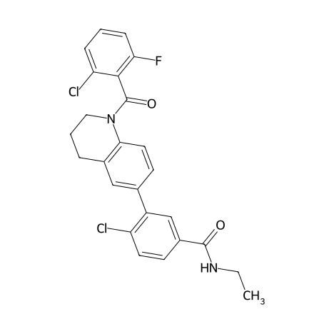 CCNC(=O)c1ccc(Cl)c(-c2ccc3c(c2)CCCN3C(=O)c2c(F)cccc2Cl)c1